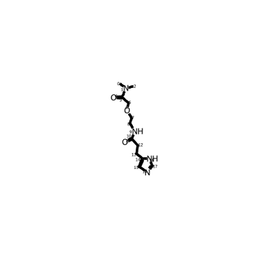 CN(C)C(=O)COCCNC(=O)CCc1cnc[nH]1